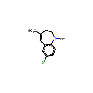 CCCN1CCC(C(=O)O)=Cc2cc(Br)ccc21